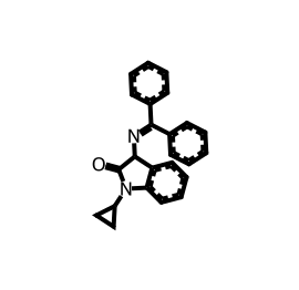 O=C1C(N=C(c2ccccc2)c2ccccc2)c2ccccc2N1C1CC1